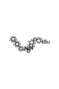 CC(C)(C)c1ccc(Oc2ccc3cc(C(=O)[N]CC4CCC(c5ccc(-c6ccccc6)cc5)C4)ncc3c2)cc1